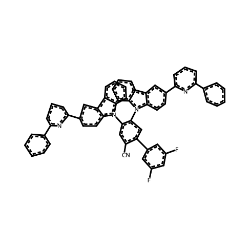 N#Cc1cc(-n2c3ccccc3c3cc(-c4cccc(-c5ccccc5)n4)ccc32)c(-n2c3ccccc3c3cc(-c4cccc(-c5ccccc5)n4)ccc32)cc1-c1cc(F)cc(F)c1